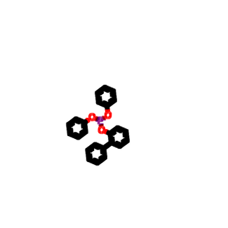 c1ccc(OP(Oc2ccccc2)Oc2ccccc2-c2ccccc2)cc1